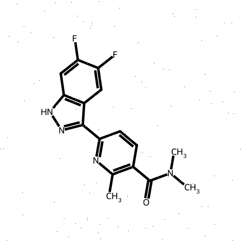 Cc1nc(-c2n[nH]c3cc(F)c(F)cc23)ccc1C(=O)N(C)C